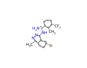 Cc1c([C@@H](N)Nc2nnc(C)c3ccc(Br)cc23)cccc1C(F)(F)F